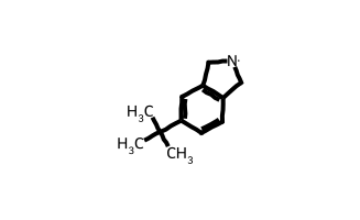 CC(C)(C)c1ccc2c(c1)C[N]C2